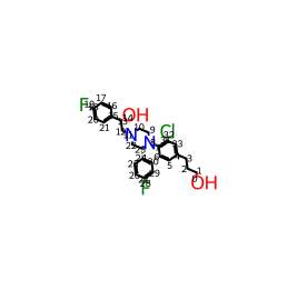 OCCCc1ccc(N2CCN(C[C@H](O)c3ccc(F)cc3)C[C@H]2c2ccc(F)cc2)c(Cl)c1